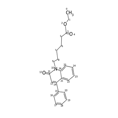 CCOC(=O)CCCCCn1c(=O)cc(-c2ccccc2)c2ccccc21